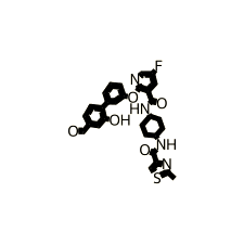 Cc1nc(C(=O)NC2CCC(NC(=O)c3cc(F)cnc3Oc3cccc(-c4ccc(C=O)cc4O)c3)CC2)cs1